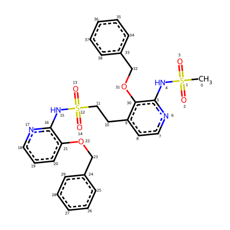 CS(=O)(=O)Nc1nccc(CCS(=O)(=O)Nc2ncccc2OCc2ccccc2)c1OCc1ccccc1